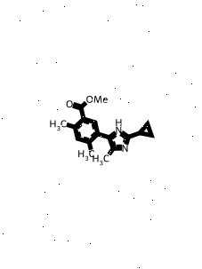 COC(=O)c1cc(-c2[nH]c(C3CC3)nc2C)c(C)cc1C